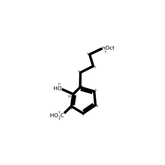 CCCCCCCCCCCc1cccc(C(=O)O)c1O